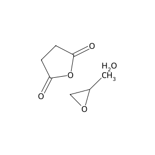 CC1CO1.O.O=C1CCC(=O)O1